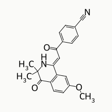 COc1ccc2c(c1)C(=CC(=O)c1ccc(C#N)cc1)NC(C)(C)C2=O